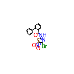 O=C(Nc1nc(Br)c([N+](=O)[O-])s1)c1ccccc1-c1ccccc1